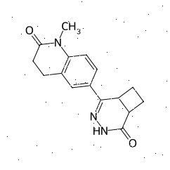 CN1C(=O)CCc2cc(C3=NNC(=O)C4CCC34)ccc21